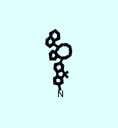 CC1(C)c2cc(C#N)ccc2-c2ccc(-c3ccccccc(-c4cccc5ccccc45)c4ccccc34)cc21